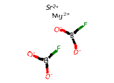 [Mg+2].[O-]B([O-])F.[O-]B([O-])F.[Sr+2]